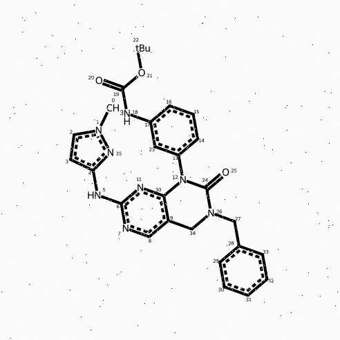 Cn1ccc(Nc2ncc3c(n2)N(c2cccc(NC(=O)OC(C)(C)C)c2)C(=O)N(Cc2ccccc2)C3)n1